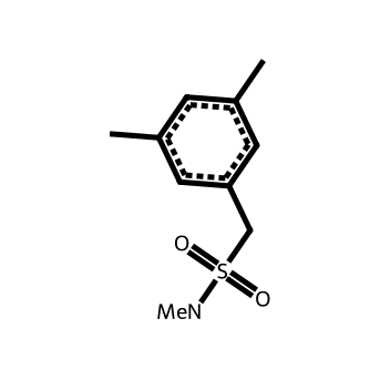 CNS(=O)(=O)Cc1cc(C)cc(C)c1